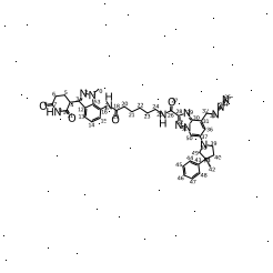 Cn1nc(C2CCC(=O)NC2=O)c2cccc(NC(=O)CCCCCNC(=O)c3nc4c(CN=[N+]=[N-])cc(N5CC[C@](C)(c6ccccc6)C5)cn4n3)c21